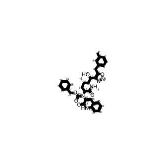 Cc1cccc(Cc2onnc2C(O)C[C@@H](C)CC(C(N)=O)N(C(=O)OCc2ccccc2)c2cc3ccccc3[nH]c2=O)c1